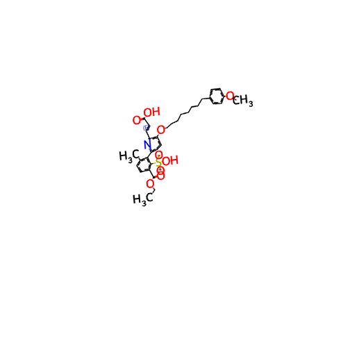 CCOC(=O)c1ccc(C)c(-c2ccc(OCCCCCCCCc3ccc(OC)cc3)c(/C=C/C(=O)O)n2)c1S(=O)(=O)O